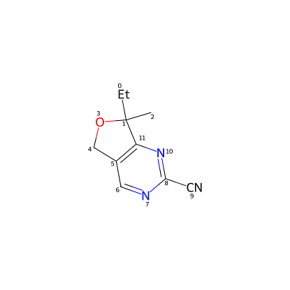 CCC1(C)OCc2cnc(C#N)nc21